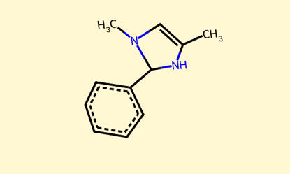 CC1=CN(C)C(c2ccccc2)N1